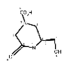 O=C1CN(C(=O)O)C[C@@H](CO)N1